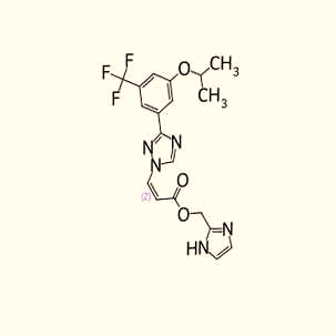 CC(C)Oc1cc(-c2ncn(/C=C\C(=O)OCc3ncc[nH]3)n2)cc(C(F)(F)F)c1